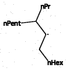 CCCCCCC[CH]C(CCC)CCCCC